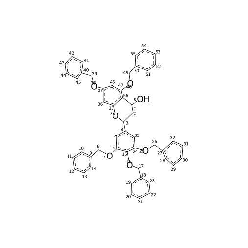 OC1CC(c2cc(OCc3ccccc3)c(OCc3ccccc3)c(OCc3ccccc3)c2)Oc2cc(OCc3ccccc3)cc(OCc3ccccc3)c21